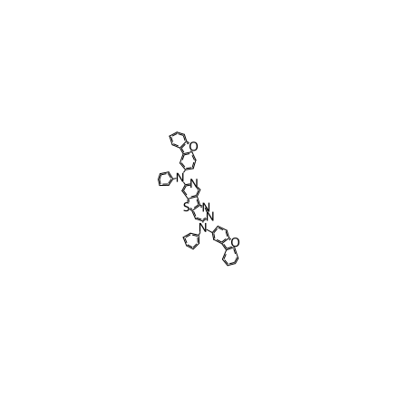 c1ccc(N(c2ccc3oc4ccccc4c3c2)c2cc3sc4cc(N(c5ccccc5)c5ccc6oc7ccccc7c6c5)nnc4c3cn2)cc1